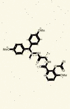 CCC(=O)Oc1c(OC)ccnc1C(=O)N[C@@H](C)C(=O)NN(C)C(c1ccc(OC)cc1)c1ccc(OC)cc1